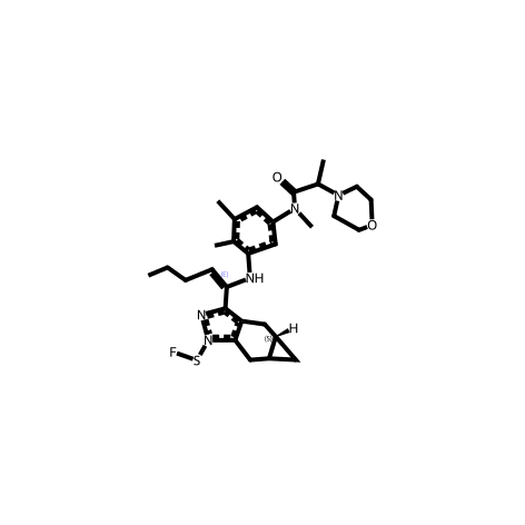 CCC/C=C(/Nc1cc(N(C)C(=O)C(C)N2CCOCC2)cc(C)c1C)c1nn(SF)c2c1C[C@@H]1CC1C2